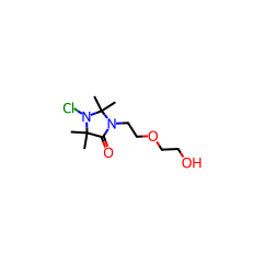 CC1(C)C(=O)N(CCOCCO)C(C)(C)N1Cl